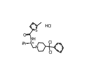 Cc1ccc(C(=O)N[C@@H](CN2CCC(C(Cl)(Cl)c3ccccc3)CC2)C(C)C)s1.Cl